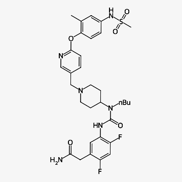 CCCCN(C(=O)Nc1cc(CC(N)=O)c(F)cc1F)C1CCN(Cc2ccc(Oc3ccc(NS(C)(=O)=O)cc3C)nc2)CC1